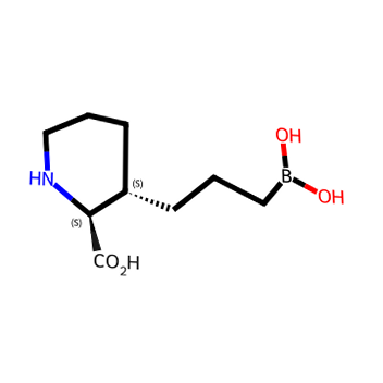 O=C(O)[C@H]1NCCC[C@@H]1CCCB(O)O